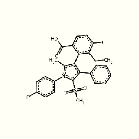 CCc1c(F)ccc(C(=O)O)c1-c1c(-c2ccccc2)c(S(C)(=O)=O)n(-c2ccc(F)cc2)c1C